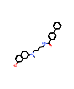 CN(CCCCNC(=O)c1ccc(-c2ccccc2)cc1)[C@@H]1CCc2ccc(O)cc2C1